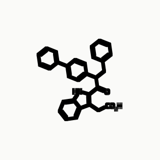 O=C(O)Cc1c(C(=O)C(Cc2ccccc2)c2ccc(-c3ccccc3)cc2)[nH]c2ccccc12